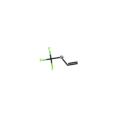 C=C[Si]C(F)(F)F